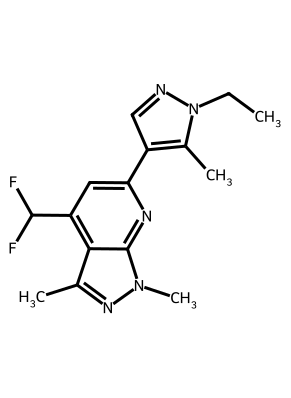 CCn1ncc(-c2cc(C(F)F)c3c(C)nn(C)c3n2)c1C